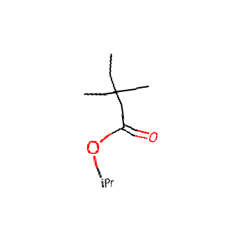 [CH2]C(C)OC(=O)C(C)(C)C